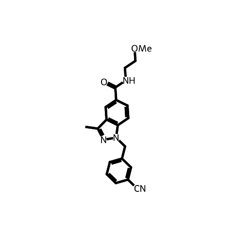 COCCNC(=O)c1ccc2c(c1)c(C)nn2Cc1cccc(C#N)c1